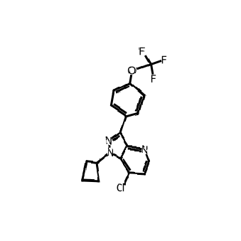 FC(F)(F)Oc1ccc(-c2nn(C3CCC3)c3c(Cl)ccnc23)cc1